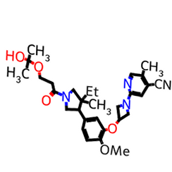 CCC1(C)CN(C(=O)CCOC(C)(C)O)CC1c1ccc(OC)c(OC2CN(c3cc(C#N)c(C)cn3)C2)c1